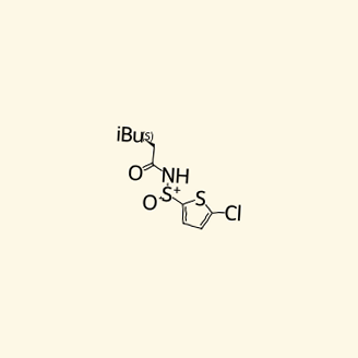 CC[C@H](C)CC(=O)N[S+]([O-])c1ccc(Cl)s1